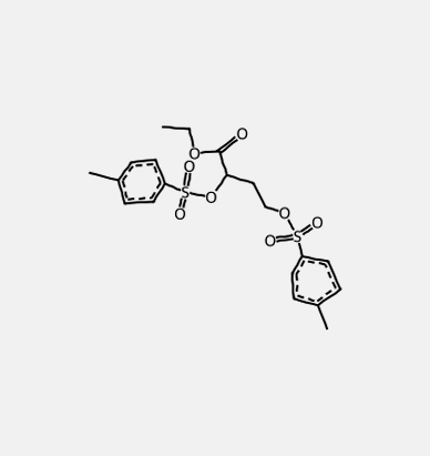 CCOC(=O)C(CCOS(=O)(=O)c1ccc(C)cc1)OS(=O)(=O)c1ccc(C)cc1